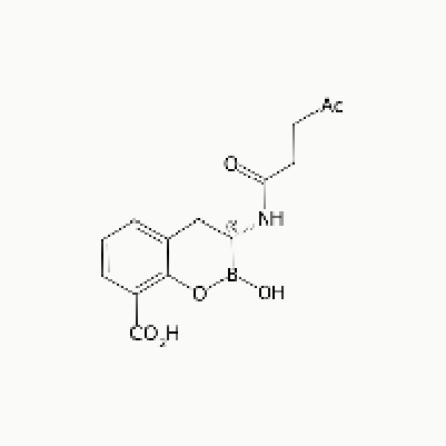 CC(=O)CCC(=O)N[C@H]1Cc2cccc(C(=O)O)c2OB1O